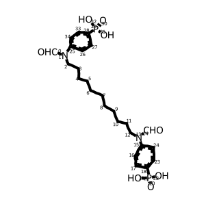 O=CN(CCCCCCCCCCCN(C=O)c1ccc(P(=O)(O)O)cc1)c1ccc(P(=O)(O)O)cc1